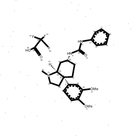 COc1ccc([C@@]23CC[C@@H](NC(=O)Nc4ccccc4)C[C@@H]2N(C)CC3)cc1OC.O=C(O)C(F)(F)F